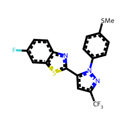 CSc1ccc(-n2nc(C(F)(F)F)cc2-c2nc3ccc(F)cc3s2)cc1